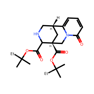 CCC(C)(C)OC(=O)C1NC[C@H]2C[C@]1(C(=O)OC(C)(C)CC)Cn1c2cccc1=O